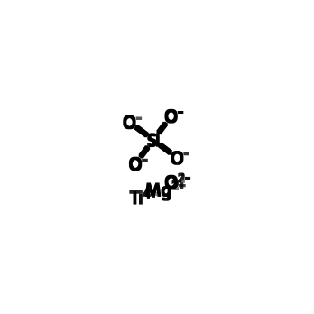 [Mg+2].[O-2].[O-][Si]([O-])([O-])[O-].[Ti+4]